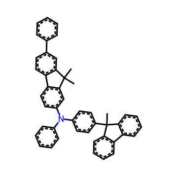 CC1(C)c2cc(-c3ccccc3)ccc2-c2ccc(N(c3ccccc3)c3ccc(C4(C)c5ccccc5-c5ccccc54)cc3)cc21